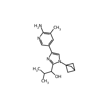 Cc1cc(-c2cn(C34CC(C3)C4)c(C(O)C(C)C)n2)cnc1N